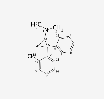 CN(C)C1CC1(c1ccccc1)c1ccccc1Cl